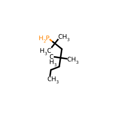 CCCC(C)(C)CC(C)(C)P